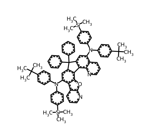 CC(C)(C)c1ccc(N(c2ccc([Si](C)(C)C)cc2)c2cc3c(c4ncccc24)-c2c(cc(N(c4ccc(C(C)(C)C)cc4)c4ccc([Si](C)(C)C)cc4)c4c2oc2ncccc24)C3(c2ccccc2)c2ccccc2)cc1